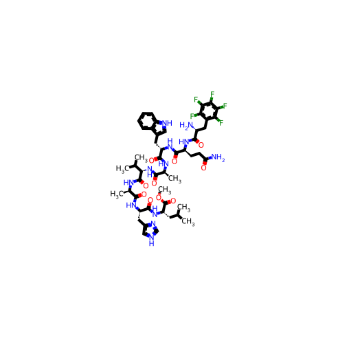 COC(=O)[C@H](CC(C)C)NC(=O)[C@H](Cc1c[nH]cn1)NC(=O)[C@@H](C)NC(=O)[C@@H](NC(=O)[C@H](C)NC(=O)[C@H](Cc1c[nH]c2ccccc12)NC(=O)[C@H](CCC(N)=O)NC(=O)[C@H](N)Cc1c(F)c(F)c(F)c(F)c1F)C(C)C